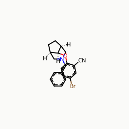 N#Cc1cc(Br)ccc1O[C@H]1[C@@H]2CC[C@H]1CN(Cc1ccccc1)C2